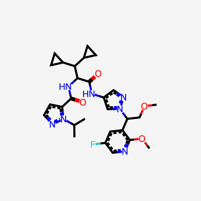 COCC(c1cc(F)cnc1OC)n1cc(NC(=O)C(NC(=O)c2ccnn2C(C)C)C(C2CC2)C2CC2)cn1